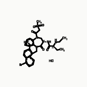 CCN[C@@H](CC)C(=O)N[C@H]1CN(C(=O)CS(C)(=O)=O)c2ccccc2N(Cc2c(OC)ccc3c(Br)cccc23)C1=O.Cl